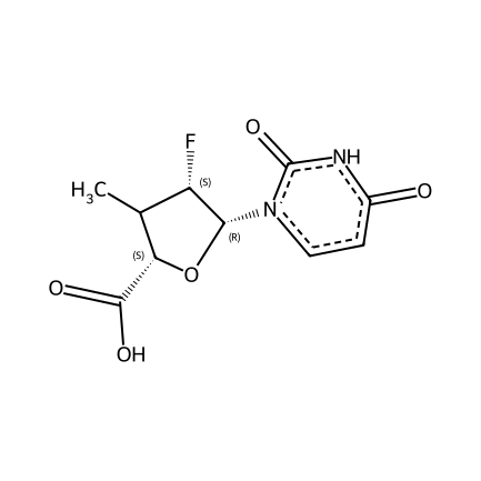 CC1[C@@H](C(=O)O)O[C@@H](n2ccc(=O)[nH]c2=O)[C@H]1F